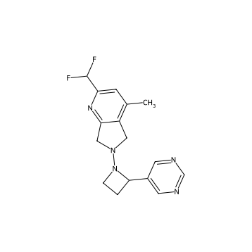 Cc1cc(C(F)F)nc2c1CN(N1CCC1c1cncnc1)C2